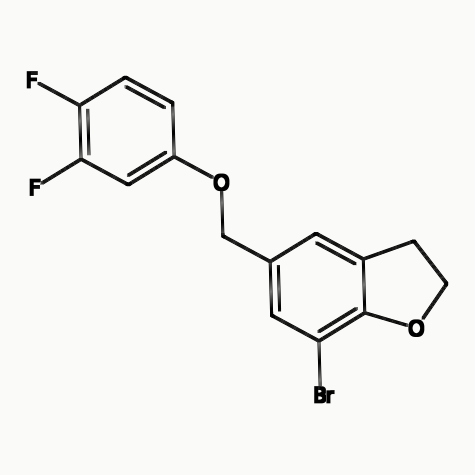 Fc1ccc(OCc2cc(Br)c3c(c2)CCO3)cc1F